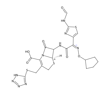 O=CNc1nc(/C(=N/OC2CCCC2)C(=O)NC2C(=O)N3C(C(=O)O)=C(CSc4nnn[nH]4)CS[C@H]23)cs1